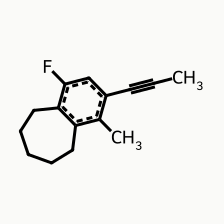 CC#Cc1cc(F)c2c(c1C)CCCCC2